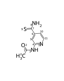 CC(=O)Nc1cc(C(N)=S)ccn1